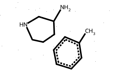 Cc1ccccc1.NC1CCCNC1